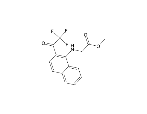 COC(=O)CNc1c(C(=O)C(F)(F)F)ccc2ccccc12